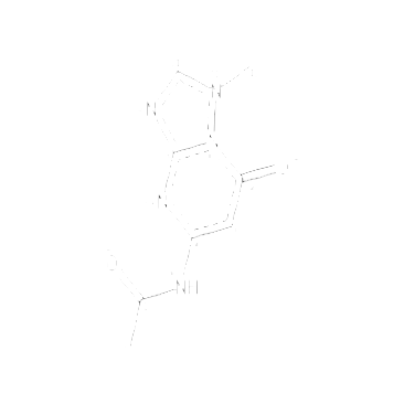 CC(=O)Nc1cc(=O)n2c(ncn2C)n1